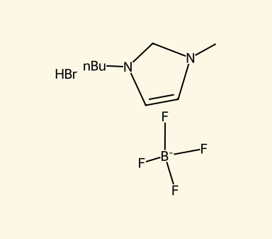 Br.CCCCN1C=CN(C)C1.F[B-](F)(F)F